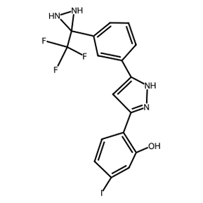 Oc1cc(I)ccc1-c1cc(-c2cccc(C3(C(F)(F)F)NN3)c2)[nH]n1